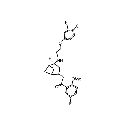 COc1ccc(F)cc1C(=O)NC1C[C@H](NCCOc2ccc(Cl)c(F)c2)C2CC1C2